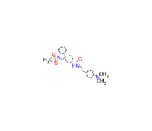 CN(C)c1ccc(CCNC(=O)[C@H]2CC[C@]3(CC2)CN(S(C)(=O)=O)c2ccccc23)cc1